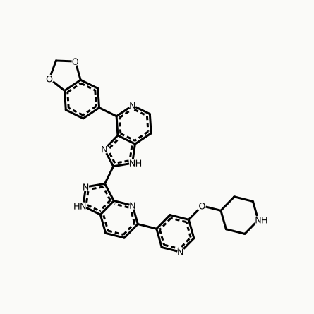 c1cc2[nH]c(-c3n[nH]c4ccc(-c5cncc(OC6CCNCC6)c5)nc34)nc2c(-c2ccc3c(c2)OCO3)n1